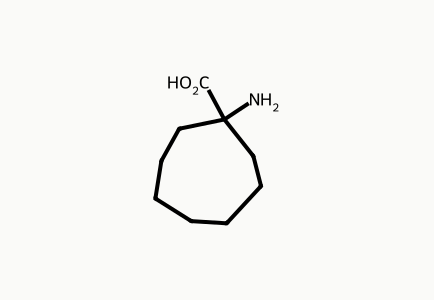 NC1(C(=O)O)CCCCCCC1